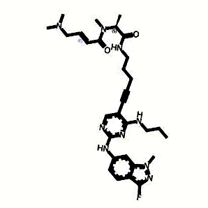 CCCNc1nc(Nc2ccc3c(F)nn(C)c3c2)ncc1C#CCCCNC(=O)[C@H](C)N(C)C(=O)/C=C/CN(C)C